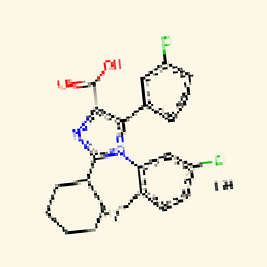 Cc1ccc(Cl)cc1-n1c(C2CCCCC2)nc(C(=O)O)c1-c1cccc(Cl)c1.[LiH]